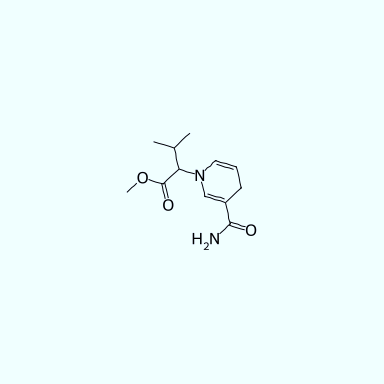 COC(=O)C(C(C)C)N1C=CCC(C(N)=O)=C1